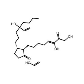 C=CC(O)(CCCC)CCC[C@H]1CCC(=O)[C@@H]1CCCCC=C(O)C(=O)CO.C=CO